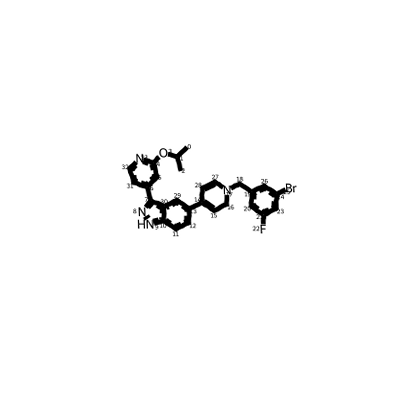 CC(C)Oc1cc(-c2n[nH]c3ccc(C4=CCN(Cc5cc(F)cc(Br)c5)C=C4)cc23)ccn1